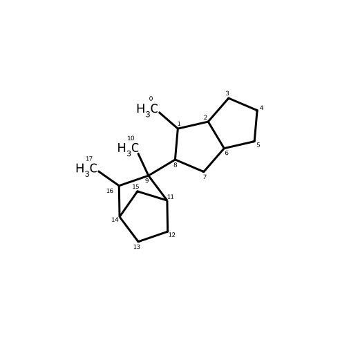 CC1C2CCCC2CC1C1(C)C2CCC(C2)C1C